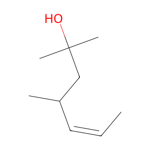 C/C=C\C(C)CC(C)(C)O